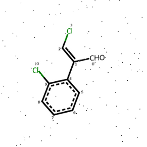 O=CC(=CCl)c1ccccc1Cl